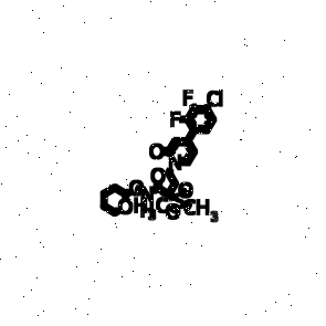 C[C@@](CCn1ccc(-c2ccc(Cl)c(F)c2F)cc1=O)(C(=O)NOC1CCCCO1)S(C)(=O)=O